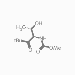 COC(=O)N[C@@H](C(=O)C(C)(C)C)[C@H](C)O